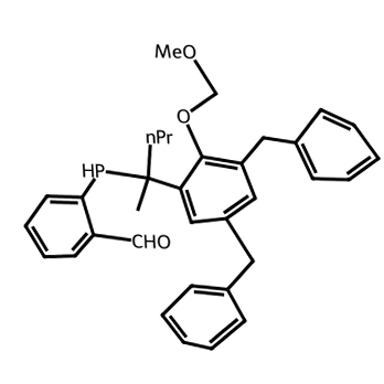 CCCC(C)(Pc1ccccc1C=O)c1cc(Cc2ccccc2)cc(Cc2ccccc2)c1OCOC